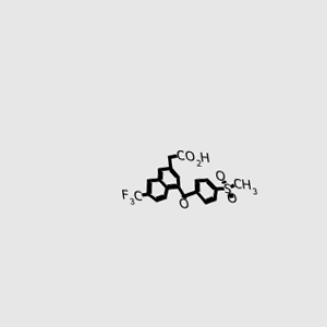 CS(=O)(=O)c1ccc(C(=O)c2cc(CC(=O)O)cc3cc(C(F)(F)F)ccc23)cc1